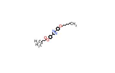 CCCCCCCOc1ccc(-c2ncc(-c3ccc(OC(=O)CCC(C)CC)cc3)cn2)cc1